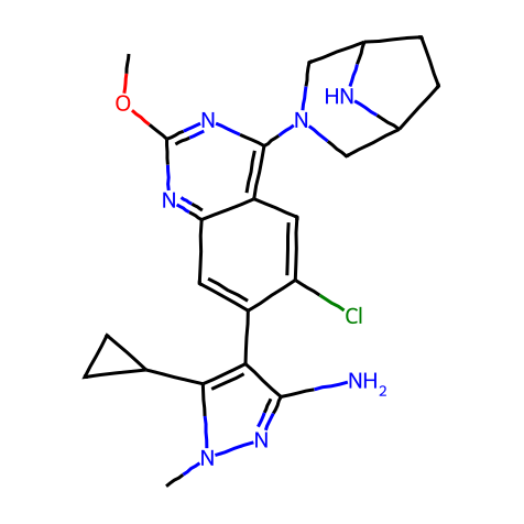 COc1nc(N2CC3CCC(C2)N3)c2cc(Cl)c(-c3c(N)nn(C)c3C3CC3)cc2n1